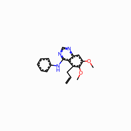 C=CCc1c(OC)c(OC)cc2ncnc(Nc3ccccc3)c12